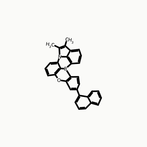 Cc1c(C)n2c3c(cccc13)B1c3ccc(-c4cccc5ccccc45)cc3Oc3cccc-2c31